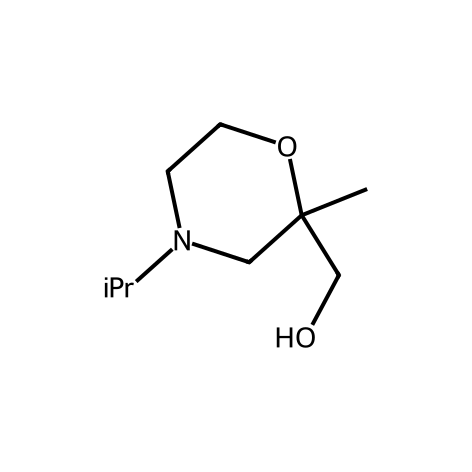 CC(C)N1CCOC(C)(CO)C1